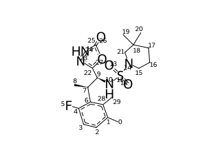 Cc1ccc(F)c([C@@H](C)[C@H](NS(=O)(=O)N2CCCC(C)(C)C2)c2n[nH]c(=O)o2)c1C